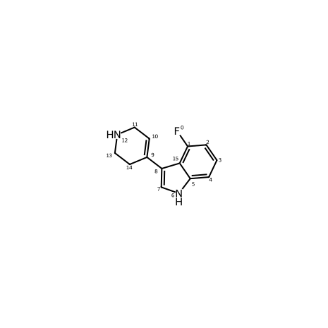 Fc1cccc2[nH]cc(C3=CCNCC3)c12